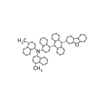 Cc1ccc(N(c2ccc(C)c3ccccc23)c2ccc(-c3c4ccccc4c(-c4ccc5c(c4)oc4ccccc45)c4ccccc34)c3ccccc23)c2ccccc12